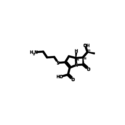 C[C@H](O)[C@H]1C(=O)N2C(C(=O)O)=C(SCCCN)C[C@H]12